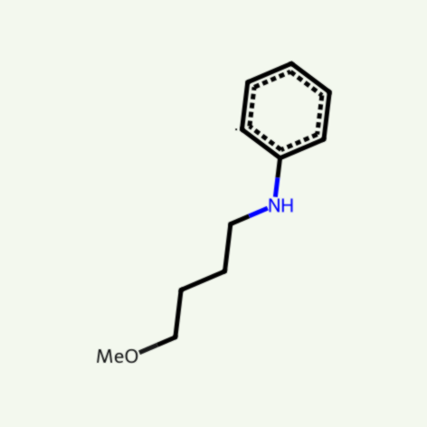 COCCCCNc1[c]cccc1